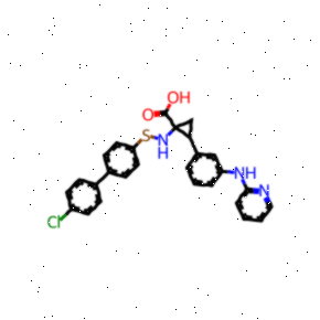 O=C(O)C1(NSc2ccc(-c3ccc(Cl)cc3)cc2)CC1c1cccc(Nc2ccccn2)c1